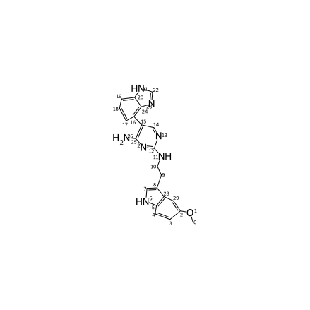 COc1ccc2[nH]cc(CCNc3ncc(-c4cccc5[nH]cnc45)c(N)n3)c2c1